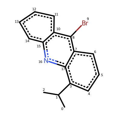 CC(C)c1cccc2c(Br)c3ccccc3nc12